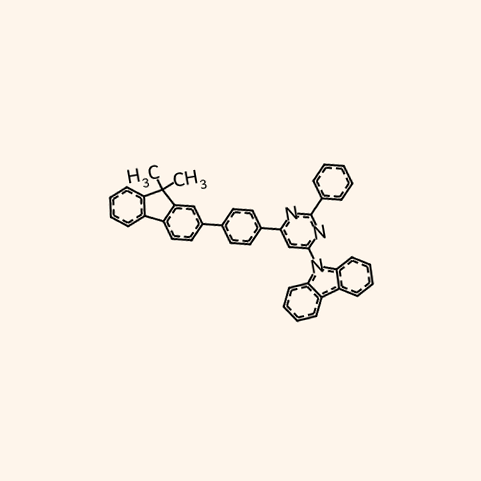 CC1(C)c2ccccc2-c2ccc(-c3ccc(-c4cc(-n5c6ccccc6c6ccccc65)nc(-c5ccccc5)n4)cc3)cc21